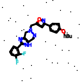 CCCCOc1ccc(-c2cc(CN3Cc4nc(-c5cccc(F)c5F)[nH]c4C=N3)on2)cc1